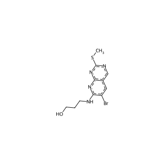 CSc1ncc2cc(Br)c(NCCCO)nc2n1